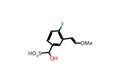 COC=Cc1cc(C(O)S(=O)(=O)O)ccc1F